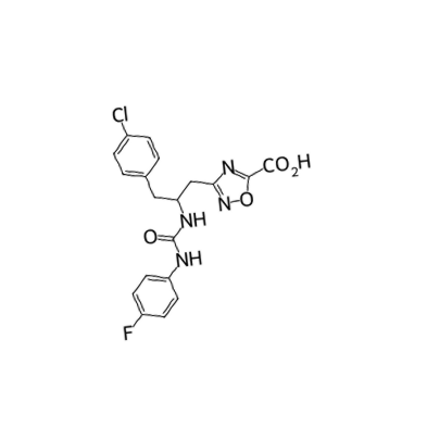 O=C(Nc1ccc(F)cc1)NC(Cc1ccc(Cl)cc1)Cc1noc(C(=O)O)n1